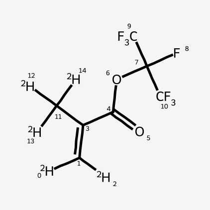 [2H]C([2H])=C(C(=O)OC(F)(C(F)(F)F)C(F)(F)F)C([2H])([2H])[2H]